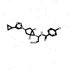 COCC(NC(=O)c1ccc(Cl)cc1)[C@H]1[C@@H]2C[C@@H](n3cc(C4CC4)nn3)C[C@@H]21